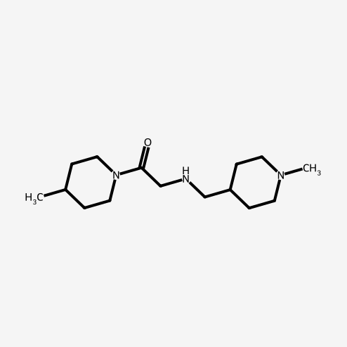 CC1CCN(C(=O)CNCC2CCN(C)CC2)CC1